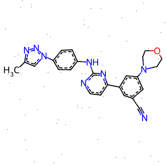 Cc1cn(-c2ccc(Nc3nccc(-c4cc(C#N)cc(N5CCOCC5)c4)n3)cc2)nn1